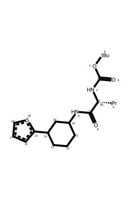 CC(C)[C@@H](NC(=O)OC(C)(C)C)C(=O)NC1CCCC(c2cccs2)C1